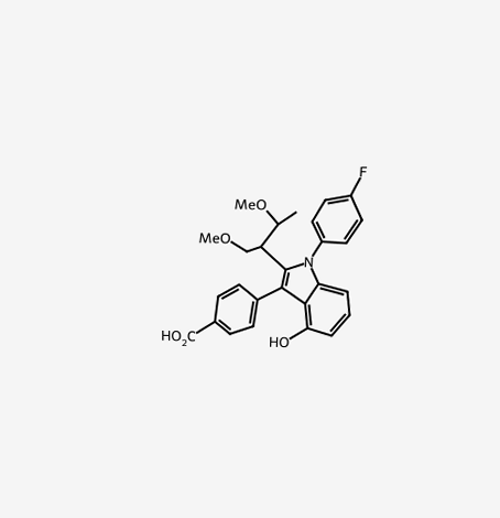 COCC(c1c(-c2ccc(C(=O)O)cc2)c2c(O)cccc2n1-c1ccc(F)cc1)C(C)OC